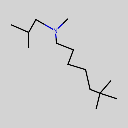 CC(C)CN(C)CCCCCC(C)(C)C